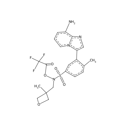 Cc1ccc(S(=O)(=O)N(CC2(C)COC2)OC(=O)C(F)(F)F)cc1-c1cnc2c(N)cccn12